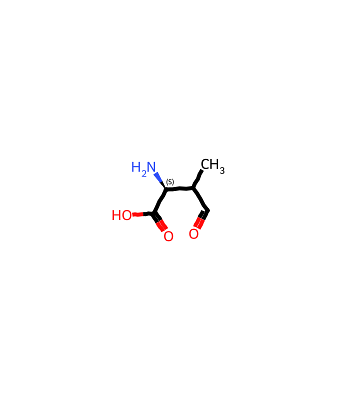 CC(C=O)[C@H](N)C(=O)O